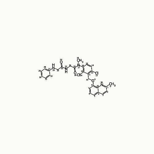 Cc1ccc2cccc(OCc3c(Cl)ccc(N(C)C(=O)CNC(=O)CNc4ccccc4)c3Cl)c2n1